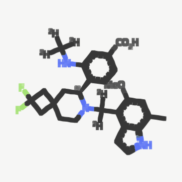 [2H]C([2H])([2H])Nc1cc(C(=O)O)ccc1[C@@H]1CC2(CCN1C([2H])([2H])c1c(OC)cc(C)c3[nH]ccc13)CC(F)(F)C2